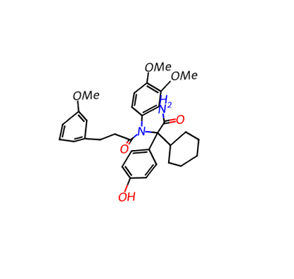 COc1cccc(CCC(=O)N(c2ccc(OC)c(OC)c2)C(C(N)=O)(c2ccc(O)cc2)C2CCCCC2)c1